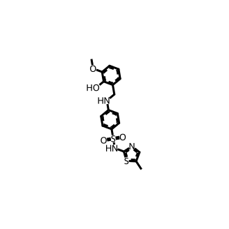 COc1cccc(CNc2ccc(S(=O)(=O)Nc3ncc(C)s3)cc2)c1O